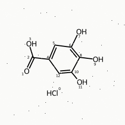 Cl.O=C(O)c1cc(O)c(O)c(O)c1